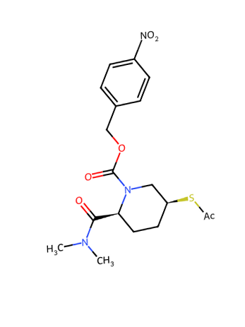 CC(=O)S[C@H]1CC[C@@H](C(=O)N(C)C)N(C(=O)OCc2ccc([N+](=O)[O-])cc2)C1